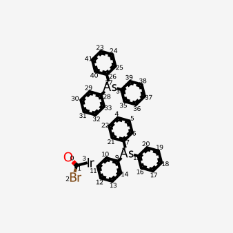 O=[C](Br)[Ir].c1ccc([As](c2ccccc2)c2ccccc2)cc1.c1ccc([As](c2ccccc2)c2ccccc2)cc1